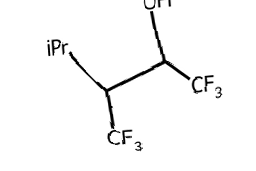 CC(C)C(C(O)C(F)(F)F)C(F)(F)F